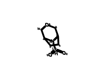 O=[SH](=O)N1C2CCC1COC2